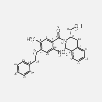 Cc1cc(C(=O)N2Cc3ccccc3C[C@H]2CO)c([N+](=O)[O-])cc1OCc1ccccc1